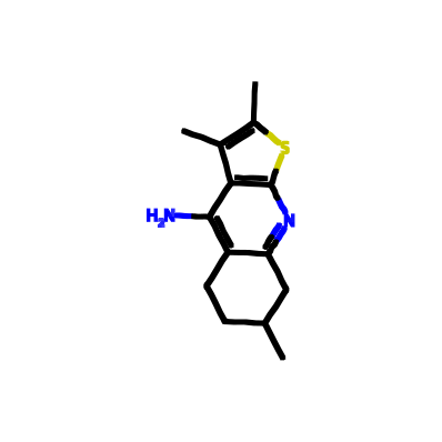 Cc1sc2nc3c(c(N)c2c1C)CCC(C)C3